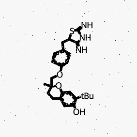 CC1(COc2ccc(CC3SC(=N)NC3=N)cc2)CCc2cc(O)c(C(C)(C)C)cc2O1